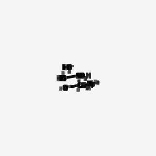 O=C([O-])O.O=S(=O)(O)O.[OH-].[Pb+2]